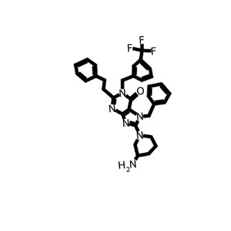 NC1CCCN(c2nc3nc(CCc4ccccc4)n(Cc4cccc(C(F)(F)F)c4)c(=O)c3n2Cc2ccccc2)C1